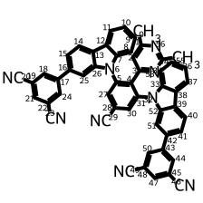 Cc1cc(-c2c(-n3c4ccccc4c4ccc(-c5cc(C#N)cc(C#N)c5)cc43)cc(C#N)cc2-n2c3ccccc3c3ccc(-c4cc(C#N)cc(C#N)c4)cc32)nc(C)n1